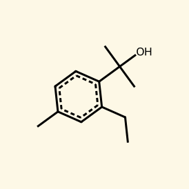 CCc1cc(C)ccc1C(C)(C)O